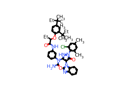 CCC(Oc1ccc(C(C)(C)CC)cc1C(C)(C)CC)C(=O)Nc1cccc(N(C(N)=O)c2[nH]n(-c3c(C)cc(C)cc3Cl)c(=O)c2-n2cnc3ccccc32)c1